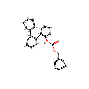 O=C(OCc1ccccc1)Oc1ccccc1-c1ccccc1-c1ccccc1